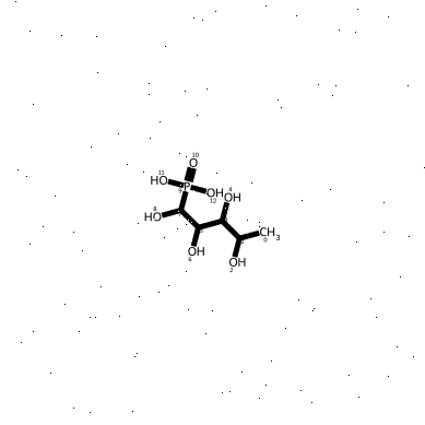 CC(O)C(O)C(O)C(O)P(=O)(O)O